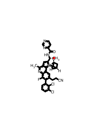 Cc1nc2c(F)c(-c3cccc(Cl)c3Cl)c(CCC#N)cc2c2c1cc([C@@H](C)NC(=O)c1ccncn1)n2[C@H]1[C@H]2CN[C@@H]1C2